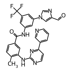 Cc1ccc(C(=O)Nc2cc(-n3cnc(C=O)c3)cc(C(F)(F)F)c2)cc1Nc1nccc(-c2cccnc2)n1